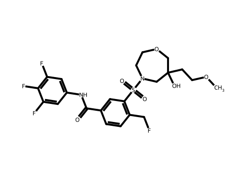 COCCC1(O)COCCN(S(=O)(=O)c2cc(C(=O)Nc3cc(F)c(F)c(F)c3)ccc2CF)C1